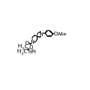 CCCC(C)(C)OC(=O)N1CCC2(CC1)CCN(c1ccc(OC)cc1)C2